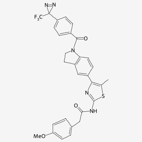 COc1ccc(CC(=O)Nc2nc(-c3ccc4c(c3)CCN4C(=O)c3ccc(C4(C(F)(F)F)N=N4)cc3)c(C)s2)cc1